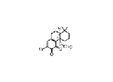 CC(C)C1=CC2=C(C(=O)C1=O)[C@@]1(OC=O)CCCC(C)(C)[C@@H]1CC2